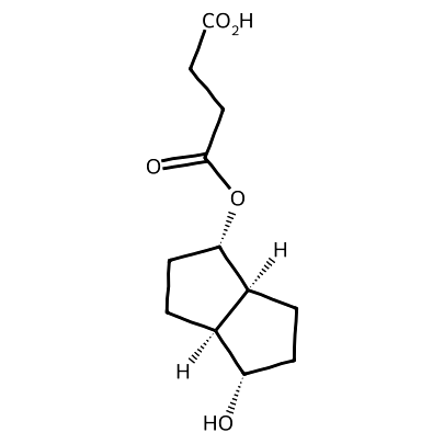 O=C(O)CCC(=O)O[C@H]1CC[C@H]2[C@@H]1CC[C@@H]2O